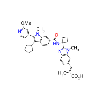 COc1cc(-c2c(C3CCCC3)c3ccc(C(=O)NC4(c5nc6ccc(/C=C(\C)C(=O)O)cc6n5C)CCC4)cc3n2C)ccn1